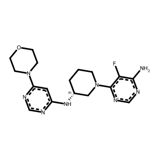 Nc1ncnc(N2CCC[C@@H](Nc3cc(N4CCOCC4)ncn3)C2)c1F